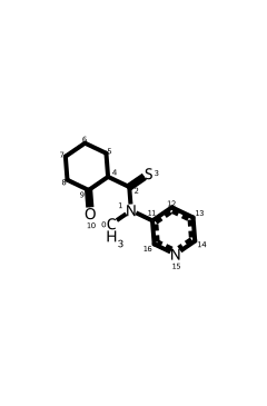 CN(C(=S)C1CCCCC1=O)c1cccnc1